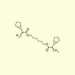 C=C(C(=O)OCCCCCCOC(=O)C(=C)C1C2CCCC21)C1C2CCCC21